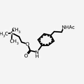 CC(=O)NCCc1ccc(NC(=O)OCCS(C)(C)C)cc1